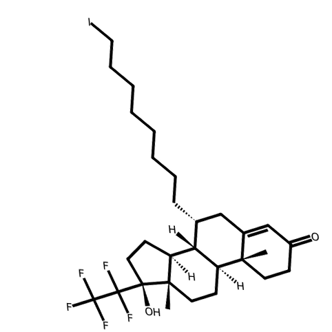 C[C@]12CCC(=O)C=C1C[C@@H](CCCCCCCCI)[C@@H]1[C@@H]2CC[C@@]2(C)[C@H]1CC[C@@]2(O)C(F)(F)C(F)(F)F